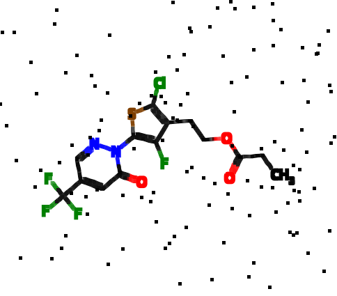 CCC(=O)OCCc1c(Cl)sc(-n2ncc(C(F)(F)F)cc2=O)c1F